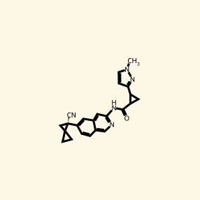 Cn1ccc(C2CC2C(=O)Nc2cc3cc([C@]4(C#N)CC45CC5)ccc3cn2)n1